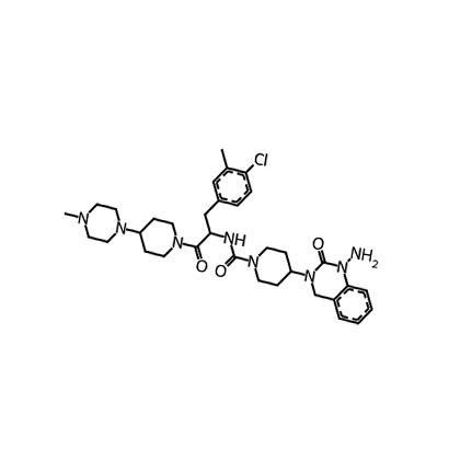 Cc1cc(CC(NC(=O)N2CCC(N3Cc4ccccc4N(N)C3=O)CC2)C(=O)N2CCC(N3CCN(C)CC3)CC2)ccc1Cl